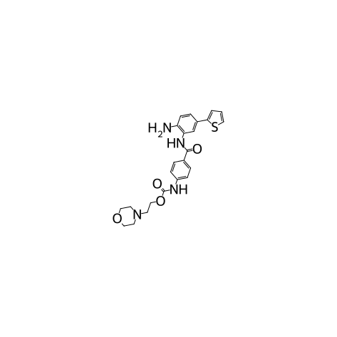 Nc1ccc(-c2cccs2)cc1NC(=O)c1ccc(NC(=O)OCCN2CCOCC2)cc1